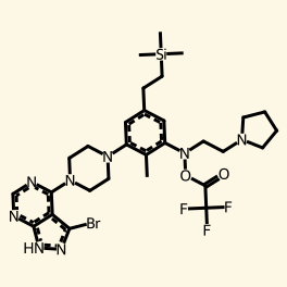 Cc1c(N2CCN(c3ncnc4[nH]nc(Br)c34)CC2)cc(CC[Si](C)(C)C)cc1N(CCN1CCCC1)OC(=O)C(F)(F)F